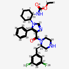 CCOC(=O)N[C@H]1CCCC[C@@H]1n1cnc(C(=O)N2CCNC[C@H]2Cc2cc(F)cc(F)c2)c1-c1ccccc1